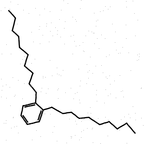 CCCCCCCCCCc1c[c]ccc1CCCCCCCCCC